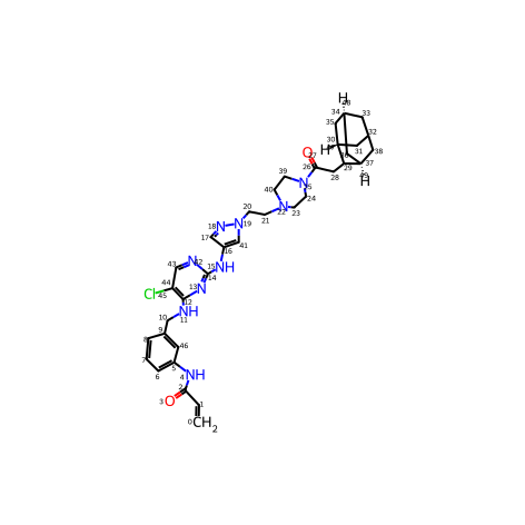 C=CC(=O)Nc1cccc(CNc2nc(Nc3cnn(CCN4CCN(C(=O)CC5[C@H]6CC7C[C@H](C6)C[C@H]5C7)CC4)c3)ncc2Cl)c1